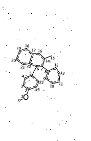 COc1ccc(-c2c(-c3ccccc3)c(C)cc3ccccc23)cc1